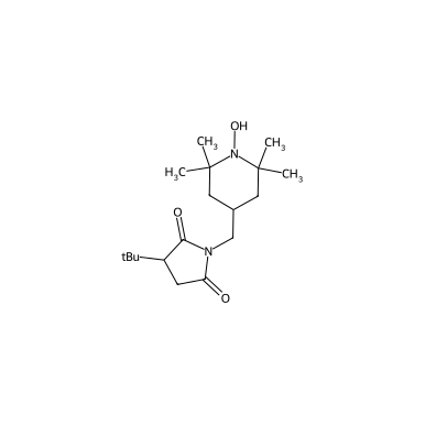 CC(C)(C)C1CC(=O)N(CC2CC(C)(C)N(O)C(C)(C)C2)C1=O